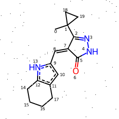 CC1(C2=NNC(=O)C2=Cc2cc3c([nH]2)CCCC3)CC1